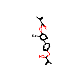 C=C(C)C(=O)Oc1ccc(-c2ccc(OC(O)C(=C)C)cc2)cc1CC